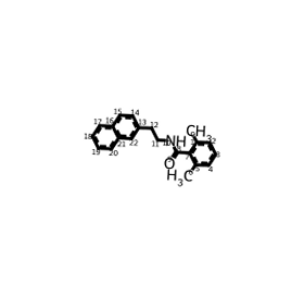 Cc1cccc(C)c1C(=O)NCCc1ccc2ccccc2c1